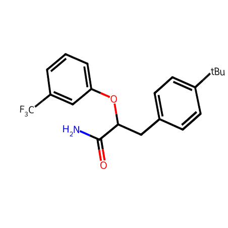 CC(C)(C)c1ccc(CC(Oc2cccc(C(F)(F)F)c2)C(N)=O)cc1